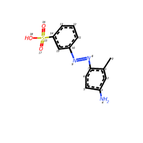 Cc1cc(N)ccc1/N=N/c1cccc(S(=O)(=O)O)c1